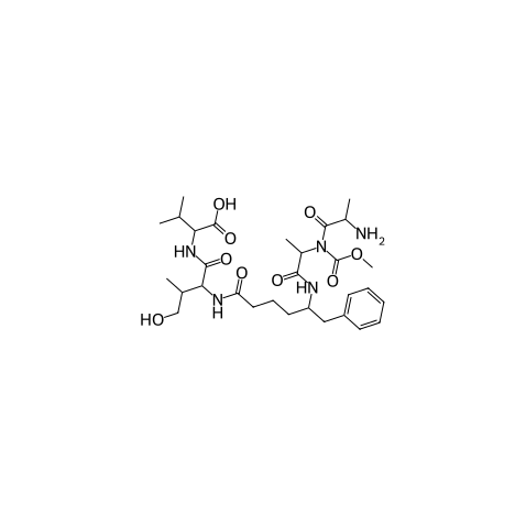 COC(=O)N(C(=O)C(C)N)C(C)C(=O)NC(CCCC(=O)NC(C(=O)NC(C(=O)O)C(C)C)C(C)CO)Cc1ccccc1